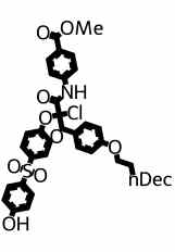 CCCCCCCCCCCCOc1ccc(C(=O)C(Cl)(Oc2ccc(S(=O)(=O)c3ccc(O)cc3)cc2)C(=O)Nc2ccc(C(=O)OC)cc2)cc1